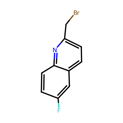 Fc1ccc2nc(CBr)ccc2c1